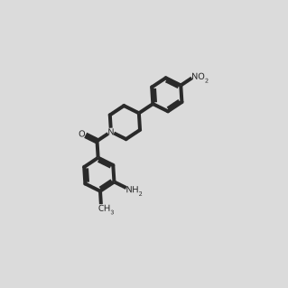 Cc1ccc(C(=O)N2CCC(c3ccc([N+](=O)[O-])cc3)CC2)cc1N